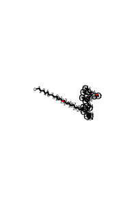 CCCCCCCCCCCCCCCCCCCCCC(=O)OC(c1cnco1)c1nc(C(CC(OC=O)C(OC=O)C(C)OC=O)OC=O)co1